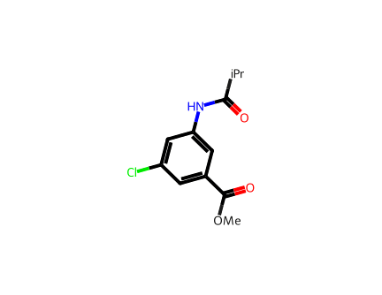 COC(=O)c1cc(Cl)cc(NC(=O)C(C)C)c1